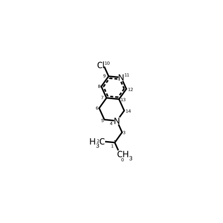 C[C](C)CN1CCc2cc(Cl)ncc2C1